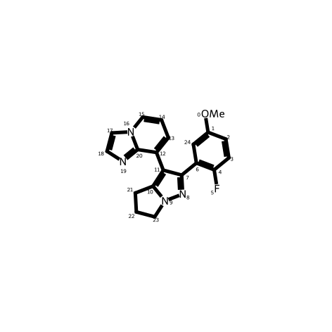 COc1ccc(F)c(-c2nn3c(c2-c2cccn4ccnc24)CCC3)c1